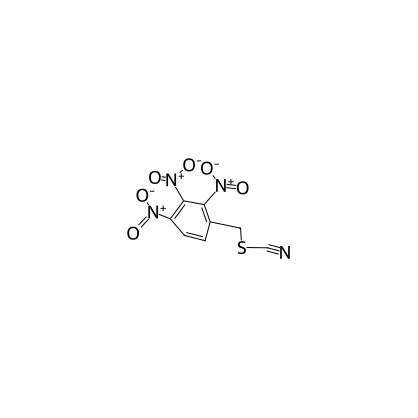 N#CSCc1ccc([N+](=O)[O-])c([N+](=O)[O-])c1[N+](=O)[O-]